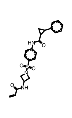 C=CC(=O)NC1CN(S(=O)(=O)c2ccc(NC(=O)C3CC3c3ccccc3)cc2)C1